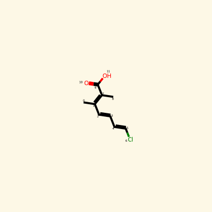 CC(C=CC=CCl)=C(C)C(=O)O